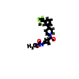 COC(=O)NC1CC(C(=O)N2CCC(c3cccc(C(F)(F)F)c3)CC2)C1